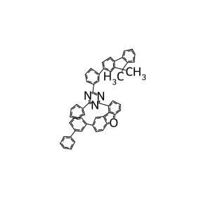 CC1(C)c2ccccc2-c2ccc(-c3cccc(-c4nc(-c5ccccc5)nc(-c5cccc6oc7ccc(-c8cccc(-c9ccccc9)c8)cc7c56)n4)c3)cc21